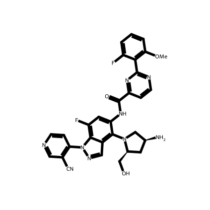 COc1cccc(F)c1-c1nccc(C(=O)Nc2cc(F)c3c(cnn3-c3ccncc3C#N)c2N2C[C@@H](N)C[C@H]2CO)n1